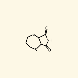 O=C1NC(=O)C2SCCCSC12